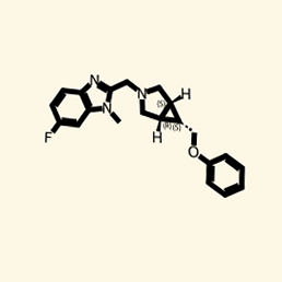 Cn1c(CN2C[C@@H]3[C@H](COc4ccccc4)[C@@H]3C2)nc2ccc(F)cc21